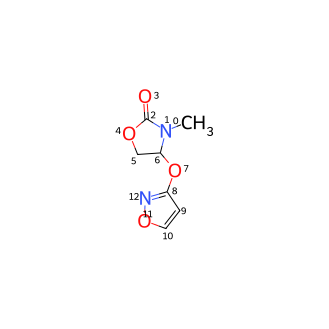 CN1C(=O)OCC1Oc1ccon1